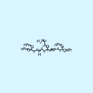 CCCOC(CCPCCC(CCPCCC(OCCC)OCCC)OCCN)OCCC